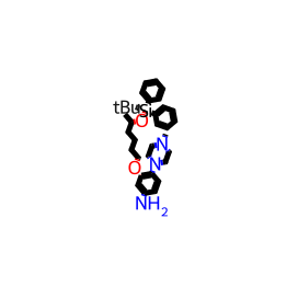 CC(CCCCOc1cc(N)ccc1N1CCN(C)CC1)O[Si](c1ccccc1)(c1ccccc1)C(C)(C)C